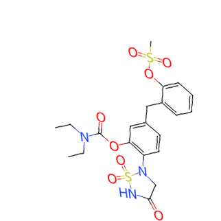 CCN(CC)C(=O)Oc1cc(Cc2ccccc2OS(C)(=O)=O)ccc1N1CC(=O)NS1(=O)=O